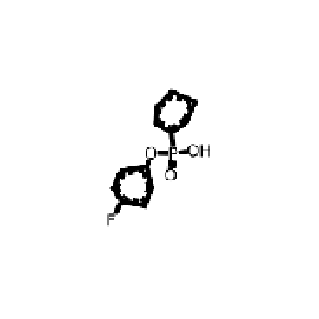 O=P(O)(Oc1ccc(F)cc1)c1ccccc1